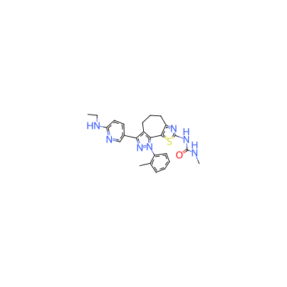 CCNc1ccc(-c2nn(-c3ccccc3C)c3c2CCCc2nc(NC(=O)NC)sc2-3)cn1